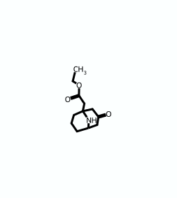 CCOC(=O)CC12CCCC(CC(=O)C1)N2